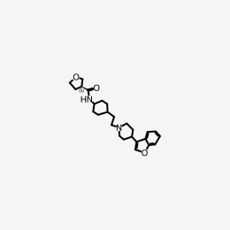 O=C(NC1CCC(CCN2CCC(c3coc4ccccc34)CC2)CC1)[C@H]1CCOC1